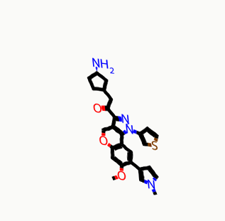 COc1cc2c(cc1-c1ccn(C)c1)-c1c(c(C(=O)CC3CC[C@H](N)C3)nn1-c1ccsc1)CO2